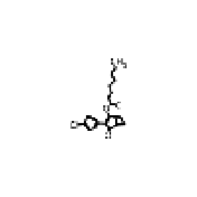 CCCCCCCC(=O)OC1=C(c2ccc(Cl)cc2)C(=O)C2CCC12